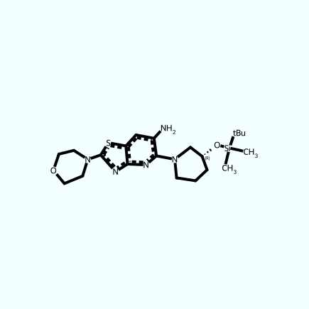 CC(C)(C)[Si](C)(C)O[C@@H]1CCCN(c2nc3nc(N4CCOCC4)sc3cc2N)C1